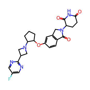 O=C1CCC(N2Cc3cc(OC4CCCC4N4CC(c5ncc(F)cn5)C4)ccc3C2=O)C(=O)N1